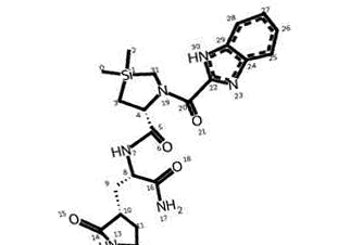 C[Si]1(C)C[C@@H](C(=O)N[C@@H](C[C@@H]2CCNC2=O)C(N)=O)N(C(=O)c2nc3ccccc3[nH]2)C1